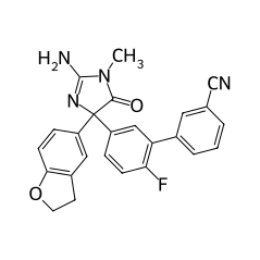 CN1C(=O)C(c2ccc3c(c2)CCO3)(c2ccc(F)c(-c3cccc(C#N)c3)c2)N=C1N